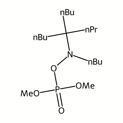 CCCCN(OP(=O)(OC)OC)C(CCC)(CCCC)CCCC